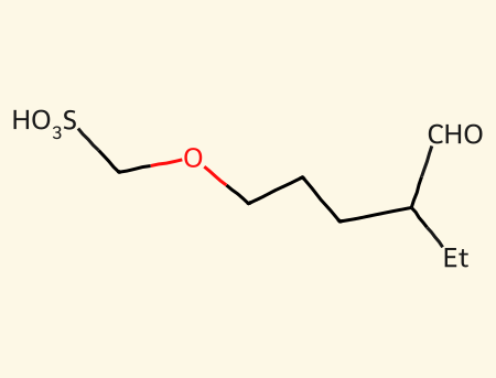 CCC(C=O)CCCOCS(=O)(=O)O